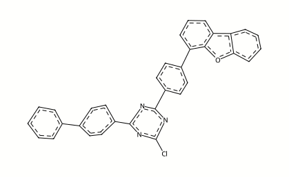 Clc1nc(-c2ccc(-c3ccccc3)cc2)nc(-c2ccc(-c3cccc4c3oc3ccccc34)cc2)n1